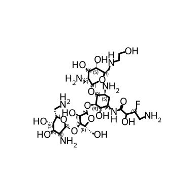 NC[C@@H]1O[C@H](O[C@H]2[C@@H](O)[C@H](O[C@@H]3[C@@H](O)[C@H](NC(=O)C(O)[C@@H](F)CN)C[C@H](N)[C@H]3O[C@H]3O[C@H](CNCCO)[C@@H](O)[C@H](O)[C@H]3N)O[C@@H]2CO)[C@H](N)[C@@H](O)[C@@H]1O